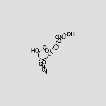 C/C(=C\c1cccc(COC(=O)N2CCC(O)CC2)c1)[C@H]1OC(=O)C[C@H](O)CC[C@H](C)[C@@H](OC(=O)N2CCN(C)CC2)/C=C/[C@@H]1C